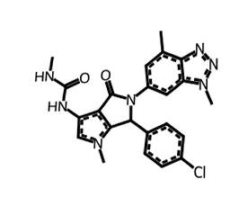 CNC(=O)Nc1cn(C)c2c1C(=O)N(c1cc(C)c3nnn(C)c3c1)C2c1ccc(Cl)cc1